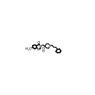 Cc1ccc2c(=O)n(CC3(O)CCN(CCCc4ccccc4)CC3)cnc2c1